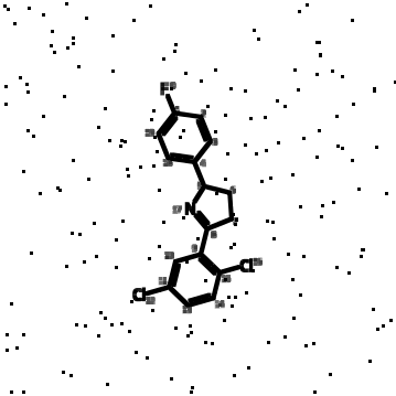 Fc1ccc(C2CCC(c3cc(Cl)ccc3Cl)=N2)cc1